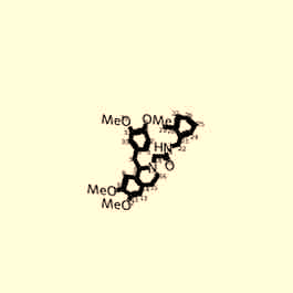 COc1ccc(CC2c3cc(OC)c(OC)cc3CCN2CC(=O)NCc2ccccc2C)cc1OC